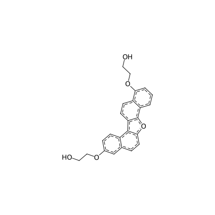 OCCOc1ccc2c(ccc3oc4c5cccc(OCCO)c5ccc4c32)c1